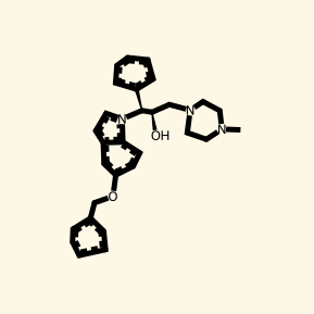 CN1CCN(C[C@@H](O)[C@H](c2ccccc2)n2ccc3cc(OCc4ccccc4)ccc32)CC1